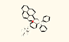 [F][Sb-]([F])([F])([F])([F])[F].[H+].c1ccc([PH](Cc2ccc3ccc4cccc5ccc2c3c45)(c2ccccc2)c2ccccc2)cc1